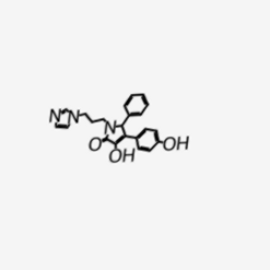 O=C1C(O)=C(c2ccc(O)cc2)C(c2ccccc2)N1CCCn1ccnc1